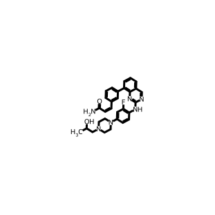 CC(O)CN1CCN(c2ccc(Nc3ncc4cccc(-c5cccc(C=CC(N)=O)c5)c4n3)c(F)c2)CC1